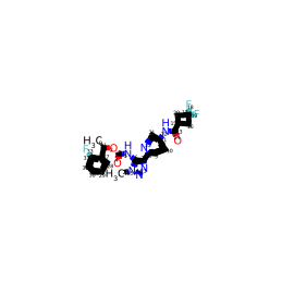 C[C@@H](OC(=O)Nc1c(-c2ccc(NC(=O)C3CC(F)(F)C3)cn2)nnn1C)c1ccccc1F